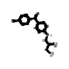 O=C(c1ccc(Cl)cc1)c1ccc(OCC(O)CO)cc1